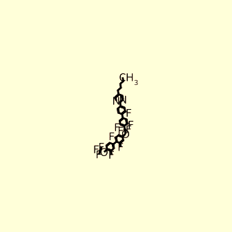 CCCCCc1cnc(-c2ccc(-c3cc(F)c(C(F)(F)Oc4cc(F)c(-c5ccc(OC(F)(F)F)c(F)c5)c(F)c4)c(F)c3)c(F)c2)nc1